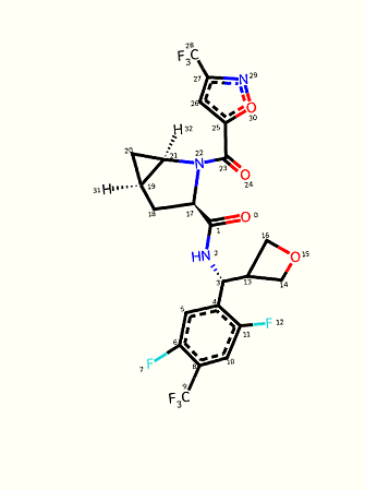 O=C(N[C@@H](c1cc(F)c(C(F)(F)F)cc1F)C1COC1)[C@H]1C[C@H]2C[C@H]2N1C(=O)c1cc(C(F)(F)F)no1